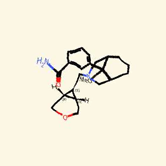 COC1(c2cccc(C(N)=O)c2)C2CCCC1CN(C[C@H]1[C@@H]3COC[C@@H]31)C2